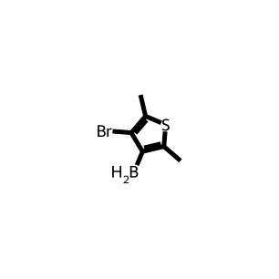 Bc1c(C)sc(C)c1Br